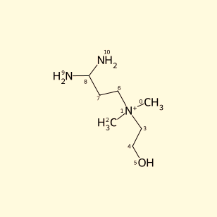 C[N+](C)(CCO)CCC(N)N